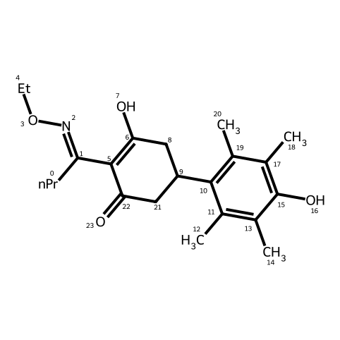 CCC/C(=N\OCC)C1=C(O)CC(c2c(C)c(C)c(O)c(C)c2C)CC1=O